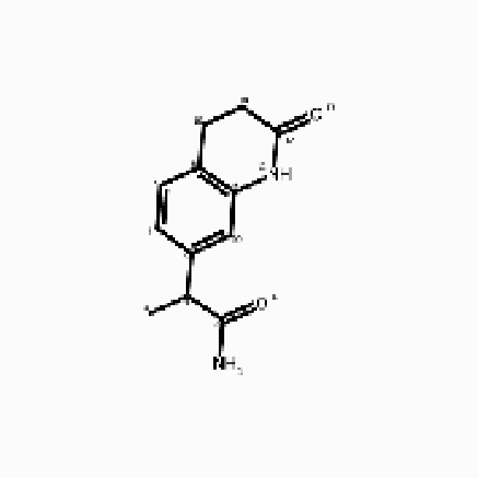 CC(C(N)=O)c1ccc2c(c1)NC(=O)CC2